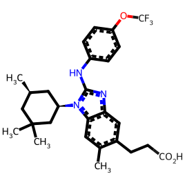 Cc1cc2c(cc1CCC(=O)O)nc(Nc1ccc(OC(F)(F)F)cc1)n2[C@@H]1C[C@H](C)CC(C)(C)C1